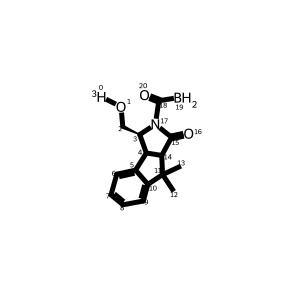 [3H]OC[C@@H]1C2c3ccccc3C(C)(C)C2C(=O)N1C(B)=O